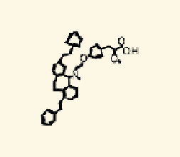 COC(Cc1ccc(OCCN(C)C2c3cc(CCc4ccccc4)ccc3CCc3c(CCc4ccccc4)cccc32)cc1)C(=O)O